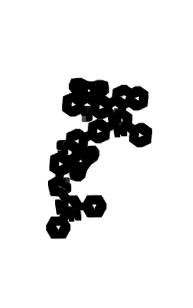 c1ccc(-c2cc(-c3ccc(-c4ccc5c(c4)C4(c6cc(-c7ccc(-c8nc(-c9ccccc9)cc(-c9c(-c%10ccc%11c(c%10)C%10(c%12ccccc%12S%11)c%11ccccc%11-c%11ccccc%11%10)ccc%10ccccc9%10)n8)cc7)ccc6S5)c5ccccc5-c5ccccc54)s3)nc(-c3ccccc3)n2)cc1